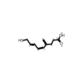 C=C(/C=C\C=C\CS)CCC(=O)O